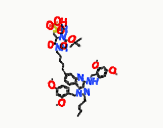 CCCCc1nc2c(NCc3ccc(OC)cc3OC)nc3cc(CCCCCNC(=O)C(CS(=O)(=O)O)NC(=O)OC(C)(C)C)ccc3c2n1Cc1ccc(OC)cc1OC